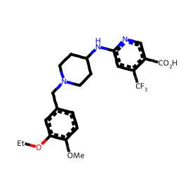 CCOc1cc(CN2CCC(Nc3cc(C(F)(F)F)c(C(=O)O)cn3)CC2)ccc1OC